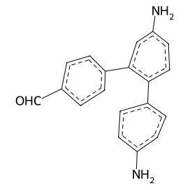 Nc1ccc(-c2ccc(N)cc2-c2ccc(C=O)cc2)cc1